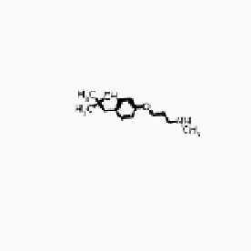 CNCCCOc1ccc(CC(C)(C)C)cc1